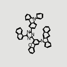 c1ccc(-n2c3ccccc3c3cc(-c4nc(-c5cccc6ccccc56)nc(-c5cc(-n6c7ccccc7c7cc8ccccc8cc76)cc6c5oc5ccccc56)n4)ccc32)cc1